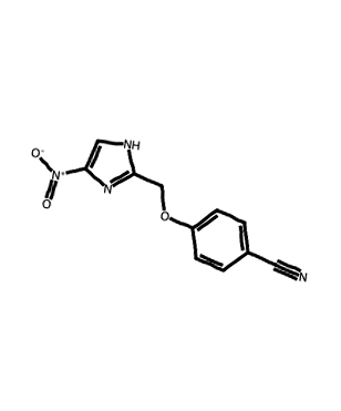 N#Cc1ccc(OCc2nc([N+](=O)[O-])c[nH]2)cc1